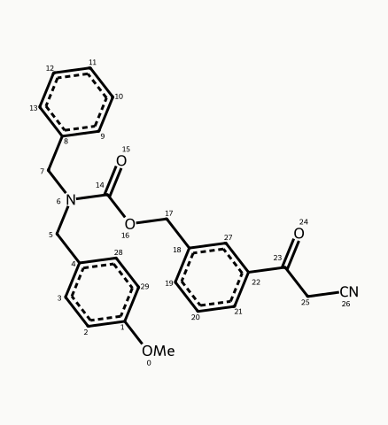 COc1ccc(CN(Cc2ccccc2)C(=O)OCc2cccc(C(=O)CC#N)c2)cc1